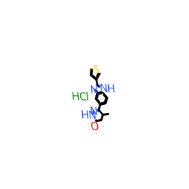 CC1CC(=O)NN=C1c1ccc2[nH]c(-c3ccsc3)nc2c1.Cl